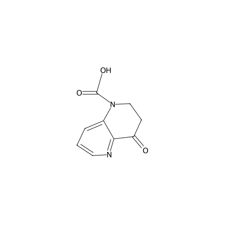 O=C1CCN(C(=O)O)c2cccnc21